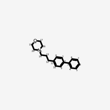 [c]1cc(-c2ccccc2)ccc1CCCN1CCOCC1